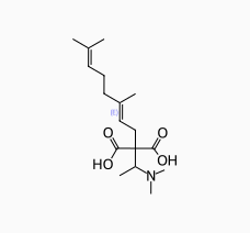 CC(C)=CCC/C(C)=C/CC(C(=O)O)(C(=O)O)C(C)N(C)C